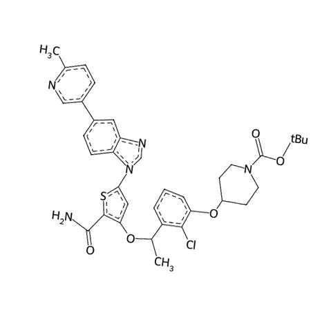 Cc1ccc(-c2ccc3c(c2)ncn3-c2cc(OC(C)c3cccc(OC4CCN(C(=O)OC(C)(C)C)CC4)c3Cl)c(C(N)=O)s2)cn1